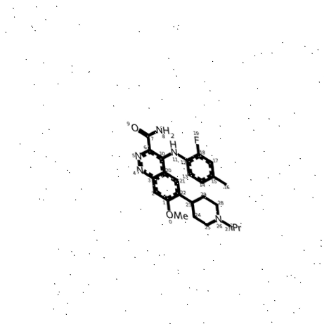 COc1cc2nnc(C(N)=O)c(Nc3ccc(C)cc3F)c2cc1C1CCN(C(C)C)CC1